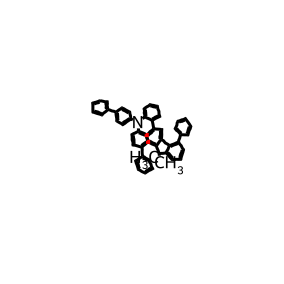 CC1(C)c2ccc(-c3ccccc3N(c3ccc(-c4ccccc4)cc3)c3ccc(-c4ccccc4)cc3)cc2-c2c(-c3ccccc3)cccc21